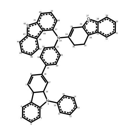 C1=CC2c3ccccc3N(c3ccccc3)C2C=C1c1ccc(N(C2=Cc3oc4ccccc4c3CC2)c2cccc3sc4ccccc4c23)cc1